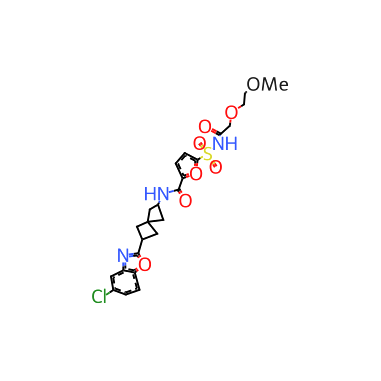 COCCOCC(=O)NS(=O)(=O)c1ccc(C(=O)NC2CC3(C2)CC(c2nc4cc(Cl)ccc4o2)C3)o1